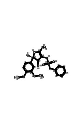 [2H][C@]1(c2ccc(OC)c(OC)c2)OC(N)=C(OS(=O)(=O)Cc2ccccc2)C1=O